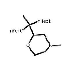 CCCCCCCC(C)(CCCCC)C1CN(C)CCO1